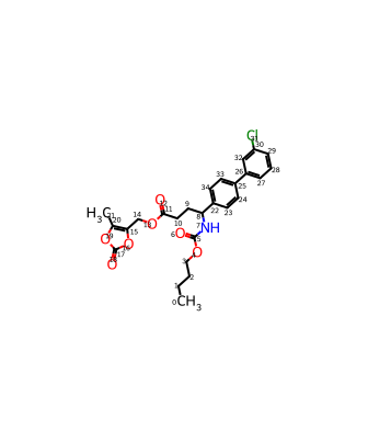 CCCCOC(=O)NC(CCC(=O)OCc1oc(=O)oc1C)c1ccc(-c2cccc(Cl)c2)cc1